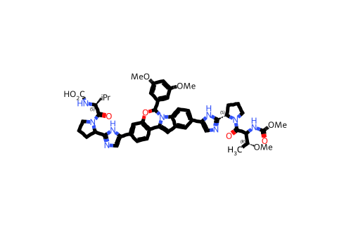 COC(=O)NC(C(=O)N1CCC[C@H]1c1ncc(-c2ccc3c(c2)cc2n3C(c3cc(OC)cc(OC)c3)Oc3cc(-c4cnc(C5CCCN5C(=O)[C@@H](NC(=O)O)C(C)C)[nH]4)ccc3-2)[nH]1)[C@@H](C)OC